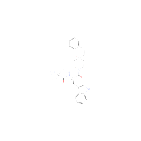 CC(C)(N)C(=O)N[C@H](Cc1c[nH]c2ccccc12)C(=O)N1CCC2(CCc3ccccc3O2)CC1